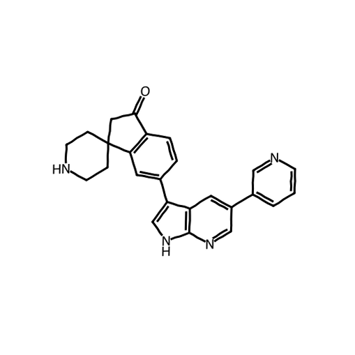 O=C1CC2(CCNCC2)c2cc(-c3c[nH]c4ncc(-c5cccnc5)cc34)ccc21